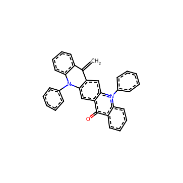 C=C1c2ccccc2N(c2ccccc2)c2cc3c(=O)c4ccccc4n(-c4ccccc4)c3cc21